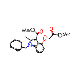 COC(=O)COc1cccc2c1c(C(=O)OC)c(C)n2Cc1ccccc1